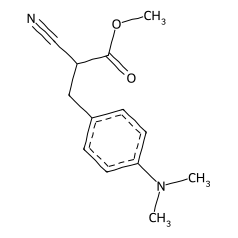 COC(=O)C(C#N)Cc1ccc(N(C)C)cc1